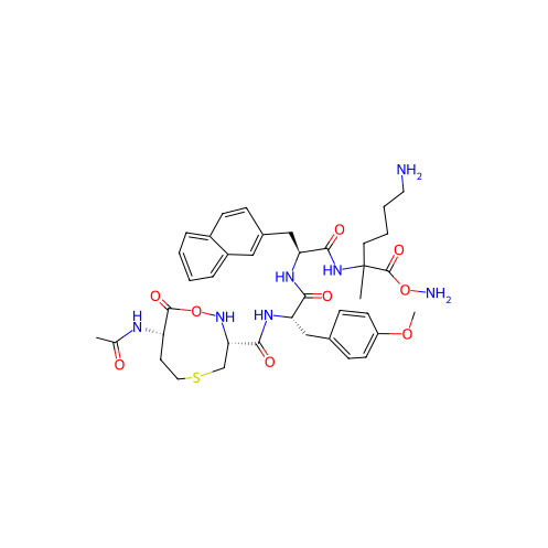 COc1ccc(C[C@H](NC(=O)[C@@H]2CSCC[C@H](NC(C)=O)C(=O)ON2)C(=O)N[C@@H](Cc2ccc3ccccc3c2)C(=O)NC(C)(CCCCN)C(=O)ON)cc1